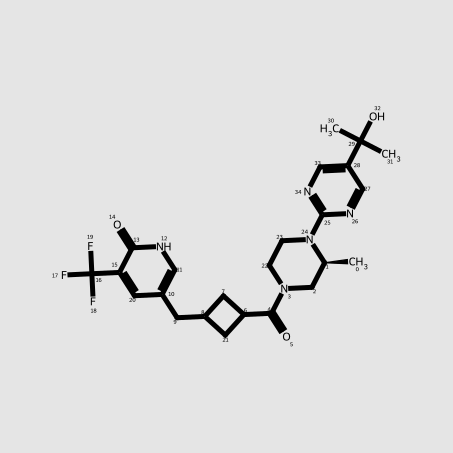 C[C@H]1CN(C(=O)C2CC(Cc3c[nH]c(=O)c(C(F)(F)F)c3)C2)CCN1c1ncc(C(C)(C)O)cn1